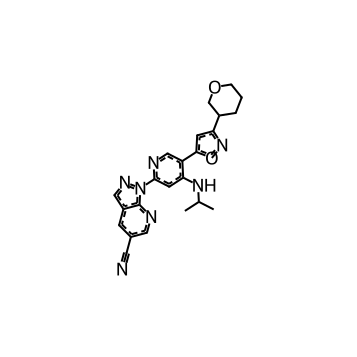 CC(C)Nc1cc(-n2ncc3cc(C#N)cnc32)ncc1-c1cc(C2CCCOC2)no1